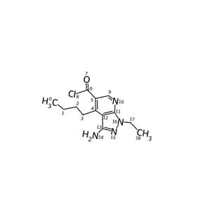 CCCCc1c(C(=O)Cl)cnc2c1c(N)nn2CC